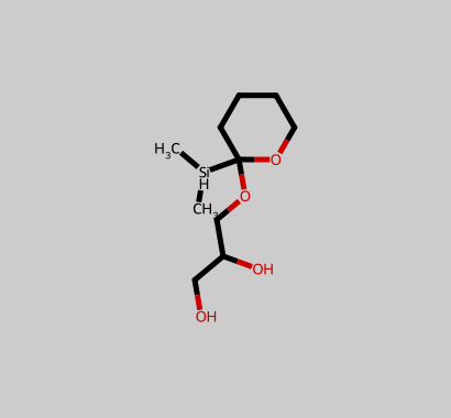 C[SiH](C)C1(OCC(O)CO)CCCCO1